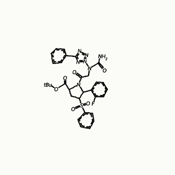 CC(C)(C)OC(=O)C1CC(S(=O)(=O)c2ccccc2)C(c2ccccc2F)N1C(=O)CN(C(N)=O)n1nnc(-c2ccccc2)n1